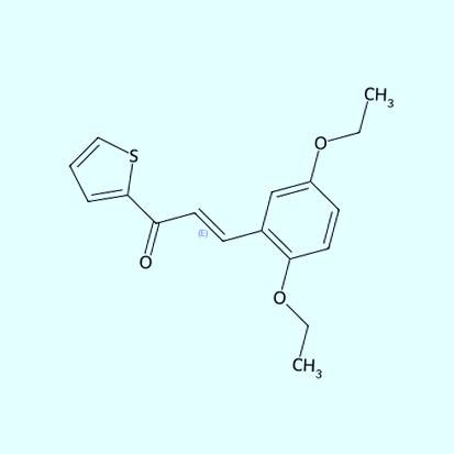 CCOc1ccc(OCC)c(/C=C/C(=O)c2cccs2)c1